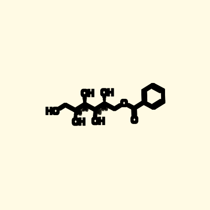 O=C(OC[C@@H](O)[C@@H](O)[C@H](O)[C@H](O)CO)c1ccccc1